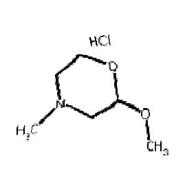 COC1CN(C)CCO1.Cl